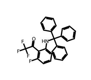 O=C(c1c(F)cccc1NC(c1ccccc1)(c1ccccc1)c1ccccc1)C(F)(F)F